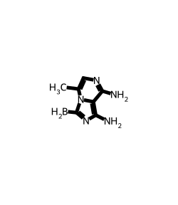 Bc1nc(N)c2c(N)ncc(C)n12